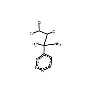 NC(N)(c1ccnnn1)C(Cl)C(Cl)Cl